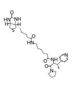 C[C@H](c1ccncc1)[C@H](NC(=O)CCCCCNC(=O)CCCC[C@@H]1SC[C@@H]2NC(=O)N[C@@H]21)C(=O)N1CCCC1